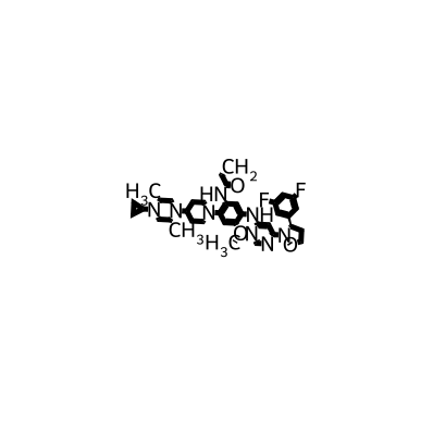 C=CC(=O)Nc1cc(Nc2cc(N3OCC[C@@H]3c3cc(F)cc(F)c3)ncn2)c(OC)cc1N1CCC(N2C[C@@H](C)N(C3CC3)C[C@H]2C)CC1